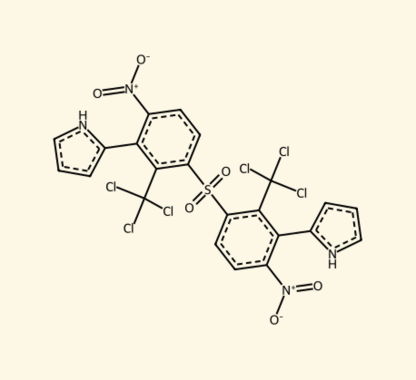 O=[N+]([O-])c1ccc(S(=O)(=O)c2ccc([N+](=O)[O-])c(-c3ccc[nH]3)c2C(Cl)(Cl)Cl)c(C(Cl)(Cl)Cl)c1-c1ccc[nH]1